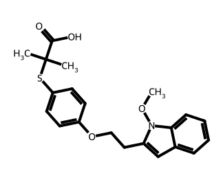 COn1c(CCOc2ccc(SC(C)(C)C(=O)O)cc2)cc2ccccc21